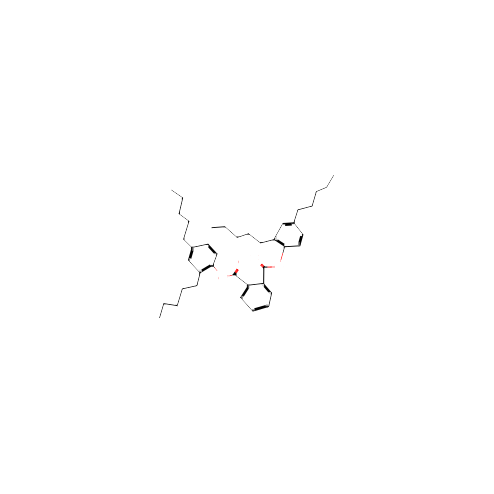 CCCCCc1ccc(OC(=O)c2ccccc2C(=O)Oc2ccc(CCCCC)cc2CCCCC)c(CCCCC)c1